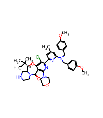 COc1ccc(CN(Cc2ccc(OC)cc2)c2cc(C)cc(-c3nc(N4CCOCC4)c4c(c3Cl)O[C@H](C(C)(C)C)C3CNCCN3C4=O)n2)cc1